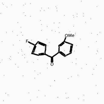 COc1cccc(C(=O)c2ccc(F)cc2)c1